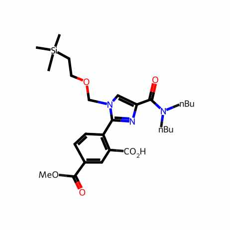 CCCCN(CCCC)C(=O)c1cn(COCC[Si](C)(C)C)c(-c2ccc(C(=O)OC)cc2C(=O)O)n1